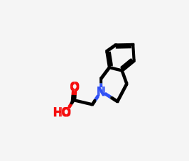 O=C(O)CN1CCc2ccccc2C1